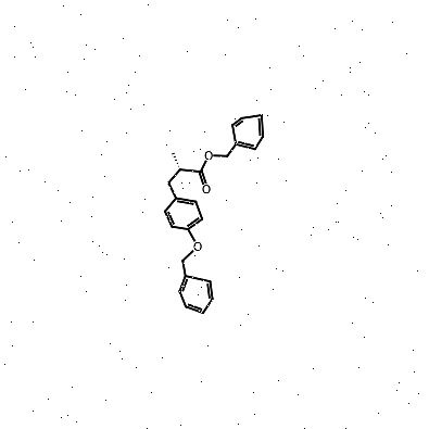 C[C@@H](Cc1ccc(OCc2ccccc2)cc1)C(=O)OCc1ccccc1